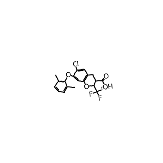 Cc1cccc(C)c1Oc1cc2c(cc1Cl)CC(C(=O)O)C(C(F)(F)F)O2